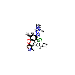 CCOC(=O)c1c(C)nsc1Oc1cc(Cl)c(N=CN(C)CC)cc1C